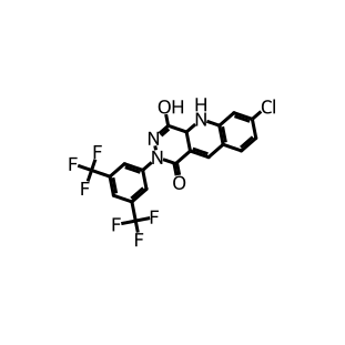 O=C1C2=Cc3ccc(Cl)cc3NC2C(O)=NN1c1cc(C(F)(F)F)cc(C(F)(F)F)c1